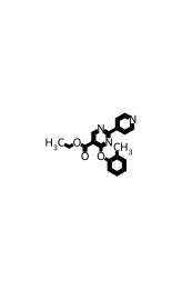 CCOC(=O)c1cnc(-c2ccncc2)nc1Oc1ccccc1C